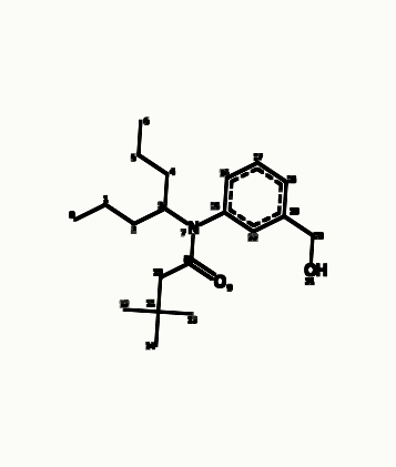 CCCC(CCC)N(C(=O)CC(C)(C)C)c1cccc(CO)c1